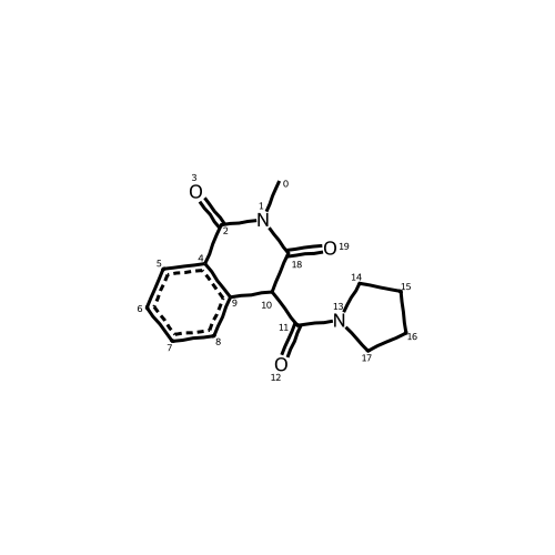 CN1C(=O)c2ccccc2C(C(=O)N2CCCC2)C1=O